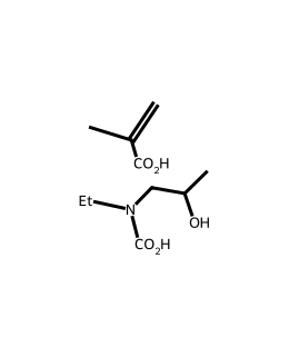 C=C(C)C(=O)O.CCN(CC(C)O)C(=O)O